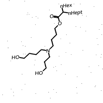 CCCCCCCC(CCCCCC)C(=O)OCCCCN(CCCO)CCCCO